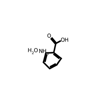 N.O.O=C(O)c1ccccc1